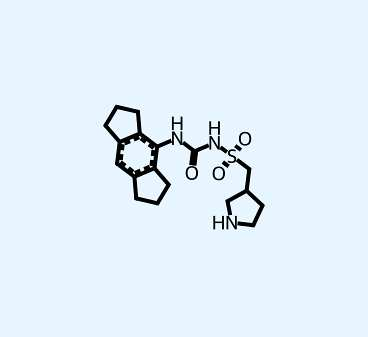 O=C(Nc1c2c(cc3c1CCC3)CCC2)NS(=O)(=O)CC1CCNC1